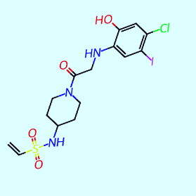 C=CS(=O)(=O)NC1CCN(C(=O)CNc2cc(I)c(Cl)cc2O)CC1